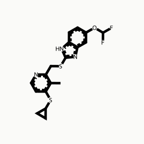 Cc1c(SC2CC2)ccnc1CSc1nc2cc(OC(F)F)ccc2[nH]1